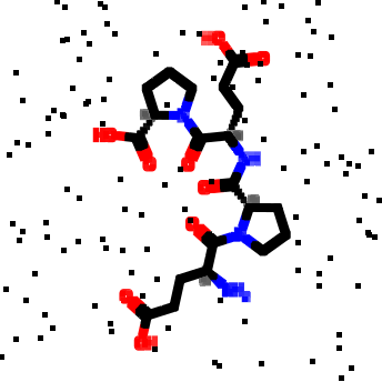 N[C@@H](CCC(=O)O)C(=O)N1CCC[C@H]1C(=O)N[C@@H](CCC(=O)O)C(=O)N1CCC[C@H]1C(=O)O